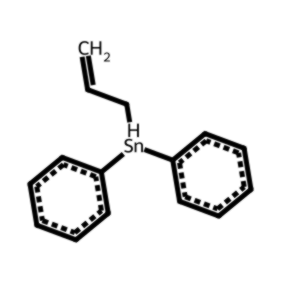 C=C[CH2][SnH]([c]1ccccc1)[c]1ccccc1